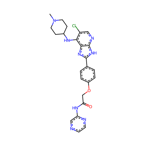 CN1CCC(Nc2c(Cl)cnc3[nH]c(-c4ccc(OCC(=O)Nc5cnccn5)cc4)nc23)CC1